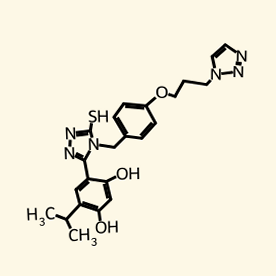 CC(C)c1cc(-c2nnc(S)n2Cc2ccc(OCCCn3ccnn3)cc2)c(O)cc1O